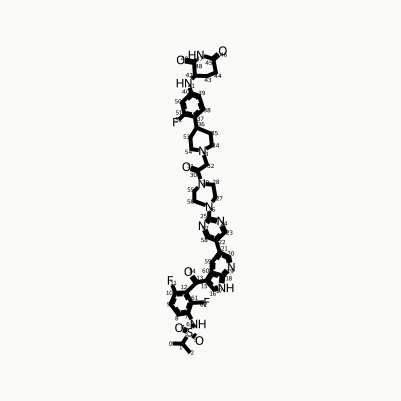 CC(C)S(=O)(=O)Nc1ccc(F)c(C(=O)c2c[nH]c3ncc(-c4cnc(N5CCN(C(=O)CN6CCC(c7ccc(NC8CCC(=O)NC8=O)cc7F)CC6)CC5)nc4)cc23)c1F